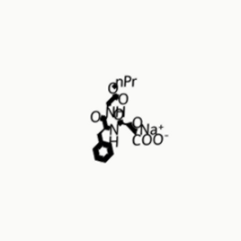 CCCOC(=O)CNC(=O)[C@H](Cc1ccccc1)NC(=O)[C@H]1O[C@@H]1C(=O)[O-].[Na+]